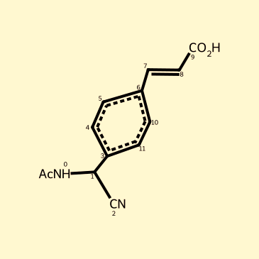 CC(=O)NC(C#N)c1ccc(C=CC(=O)O)cc1